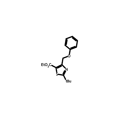 CCOC(=O)c1sc(C(C)(C)C)nc1COc1ccccc1